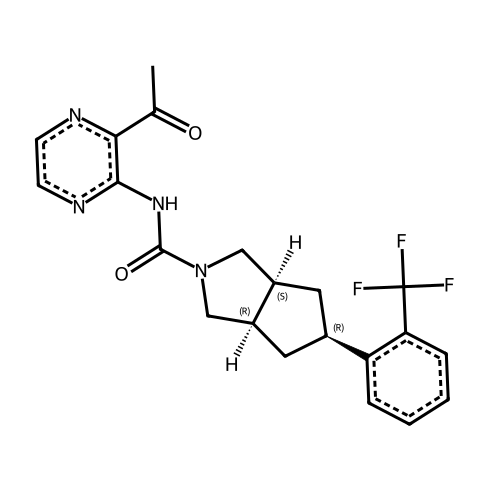 CC(=O)c1nccnc1NC(=O)N1C[C@H]2C[C@@H](c3ccccc3C(F)(F)F)C[C@H]2C1